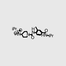 Cc1cc(C(=O)NC(C)C)ccc1NC(=O)N1CCC(NS(=O)(=O)C(C)C)CC1